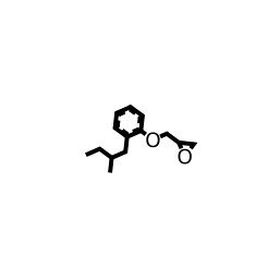 CCC(C)Cc1ccccc1OCC1CO1